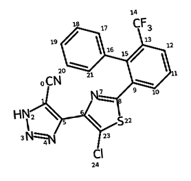 N#Cc1[nH]nnc1-c1nc(-c2cccc(C(F)(F)F)c2-c2ccccc2)sc1Cl